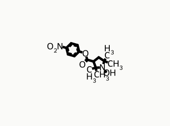 CC1(C)CC(C(=O)Oc2ccc([N+](=O)[O-])cc2)C(C)(C)N1O